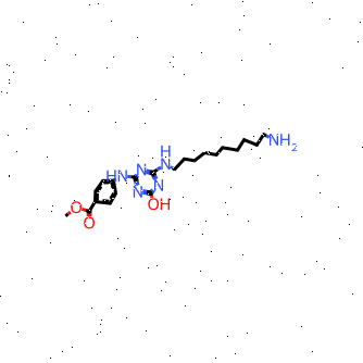 COC(=O)c1ccc(Nc2nc(O)nc(NCCCCCCCCCCN)n2)cc1